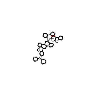 c1ccc(-c2ccccc2B(c2ccc3c(c2)oc2ccccc23)c2cc3c4cccc5c4c(cc3c3ccccc23)-c2ccc(N(c3ccccc3)c3ccccc3)cc2O5)cc1